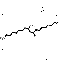 CCCCCCCCC(C)[CH]C(C)CCCCCCCC